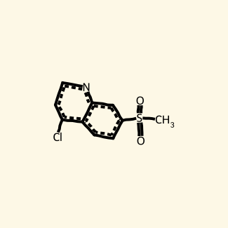 CS(=O)(=O)c1ccc2c(Cl)ccnc2c1